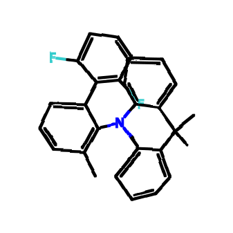 Cc1cccc(-c2c(F)cccc2F)c1N1c2ccccc2C(C)(C)c2ccccc21